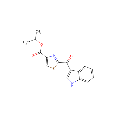 CC(C)OC(=O)c1csc(C(=O)c2c[nH]c3ccccc23)n1